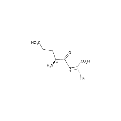 CCC[C@H](NC(=O)[C@@H](N)CCC(=O)O)C(=O)O